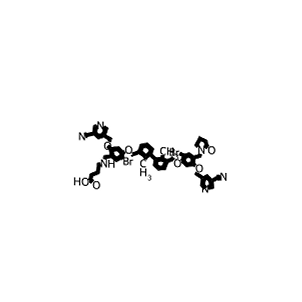 Cc1c(COc2cc(OCc3cncc(C#N)c3)c(CNCCCC(=O)O)cc2Br)cccc1-c1cccc(COc2cc(OCc3cncc(C#N)c3)c(CN3CCCC3=O)cc2Br)c1C